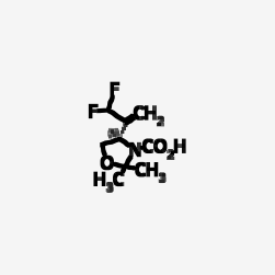 C=C(C(F)F)[C@H]1COC(C)(C)N1C(=O)O